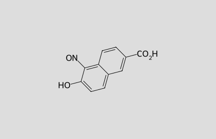 O=Nc1c(O)ccc2cc(C(=O)O)ccc12